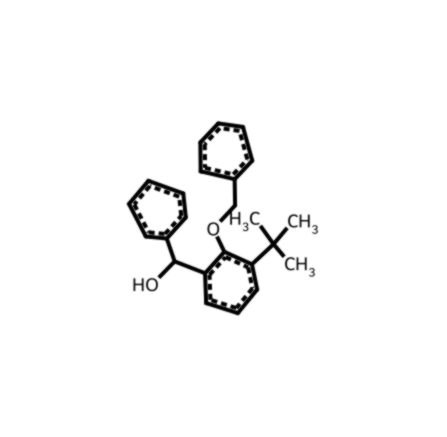 CC(C)(C)c1cccc(C(O)c2ccccc2)c1OCc1ccccc1